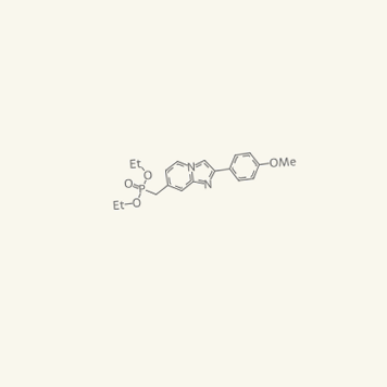 CCOP(=O)(Cc1ccn2cc(-c3ccc(OC)cc3)nc2c1)OCC